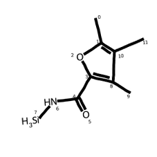 Cc1oc(C(=O)N[SiH3])c(C)c1C